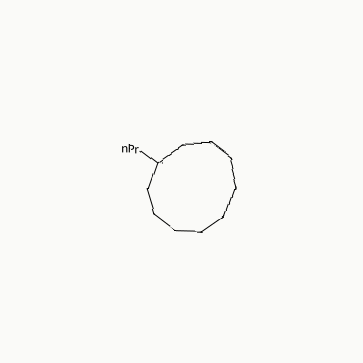 CCC[C]1CCCCCCCCC1